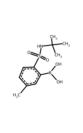 Cc1ccc(S(=O)(=O)NC(C)(C)C)c(B(O)O)c1